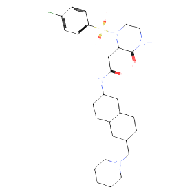 O=C(CC1C(=O)NCCN1S(=O)(=O)c1ccc(Cl)cc1)NC1CCC2CC(CN3CCCCC3)CCC2C1